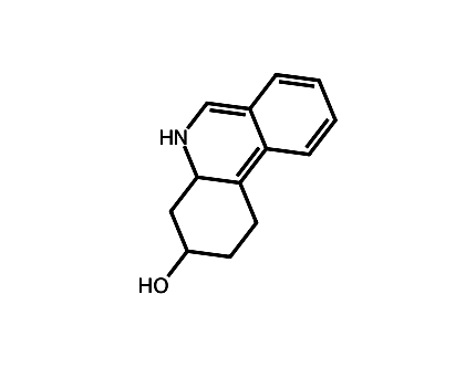 OC1CCC2=c3ccccc3=CNC2C1